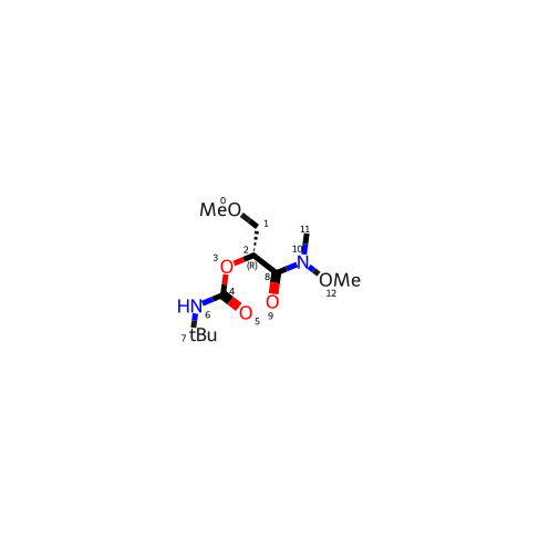 COC[C@@H](OC(=O)NC(C)(C)C)C(=O)N(C)OC